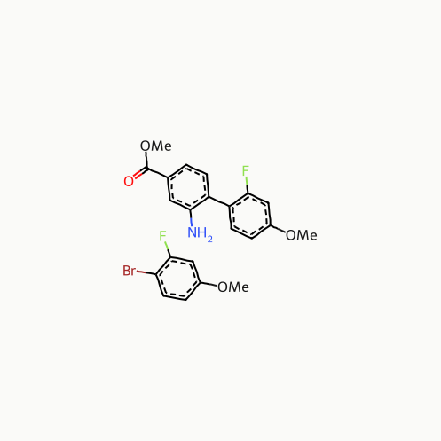 COC(=O)c1ccc(-c2ccc(OC)cc2F)c(N)c1.COc1ccc(Br)c(F)c1